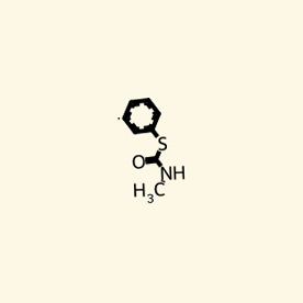 CNC(=O)Sc1c[c]ccc1